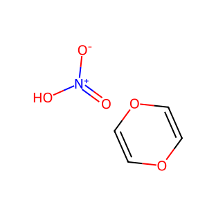 C1=COC=CO1.O=[N+]([O-])O